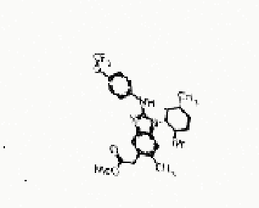 COC(=O)Cc1cc2nc(Nc3ccc(OC(F)(F)F)cc3)n([C@@H]3C[C@H](C)CC[C@H]3C(C)C)c2cc1C